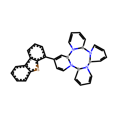 C1=CB2N(C=C1)B1C=CC=CN1B1C=C(c3cccc4c3sc3ccccc34)C=CN1B1C=CC=CN21